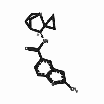 Cc1cc2cc(C(=O)N[C@@H]3C4CCN(C4)C34CC4)ccc2o1